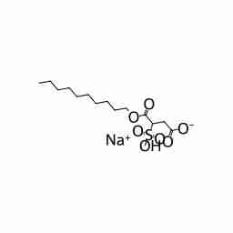 CCCCCCCCCCOC(=O)C(CC(=O)[O-])S(=O)(=O)O.[Na+]